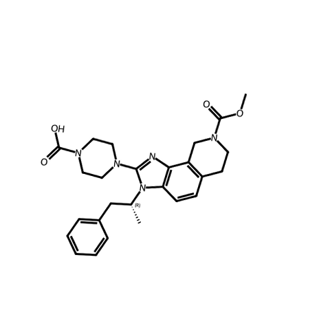 COC(=O)N1CCc2ccc3c(nc(N4CCN(C(=O)O)CC4)n3[C@H](C)Cc3ccccc3)c2C1